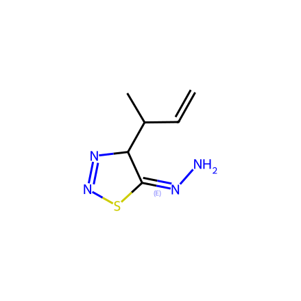 C=CC(C)C1N=NS/C1=N/N